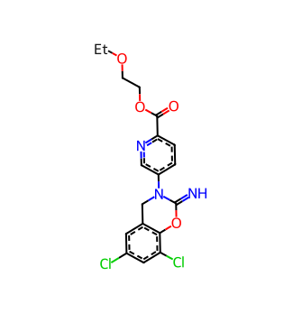 CCOCCOC(=O)c1ccc(N2Cc3cc(Cl)cc(Cl)c3OC2=N)cn1